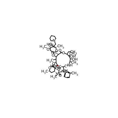 CCC1OC(=O)C(C)C(O[C@H]2C[C@@](C)(OC)[C@](O)(CN3CCCCC3)[C@H](C)O2)C(C)C(O[C@H]2O[C@@H](C)C[C@@H](N(C)S(=O)(=O)Nc3cccc(C)c3)[C@@H]2O)C(C)(O)CC(C)CNC(C)C(O)C1(C)O